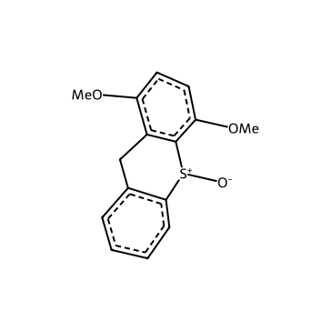 COc1ccc(OC)c2c1Cc1ccccc1[S+]2[O-]